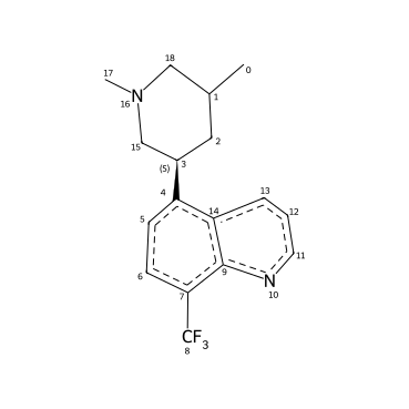 CC1C[C@@H](c2ccc(C(F)(F)F)c3ncccc23)CN(C)C1